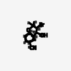 CC1(C)Oc2ccc(C#N)cc2C(O)C1Br